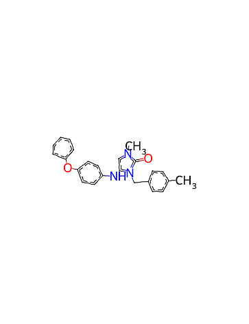 Cc1ccc(Cn2c(Nc3ccc(Oc4ccccc4)cc3)cn(C)c2=O)cc1